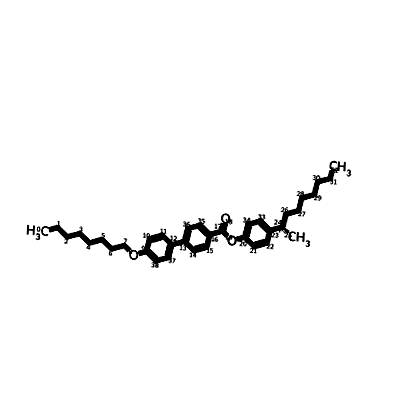 CCCCCCCCOc1ccc(-c2ccc(C(=O)Oc3ccc([C@H](C)CCCCCCC)cc3)cc2)cc1